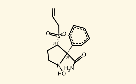 C=CCS(=O)(=O)[C@H]1CCN(O)[C@@]1(C(N)=O)c1ccccc1